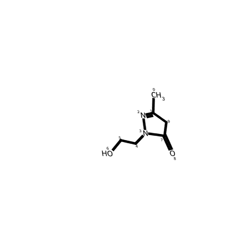 CC1=NN(CCO)C(=O)C1